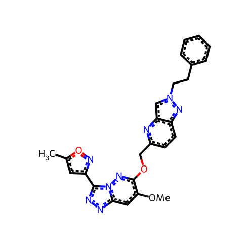 COc1cc2nnc(-c3cc(C)on3)n2nc1OCc1ccc2nn(CCc3ccccc3)cc2n1